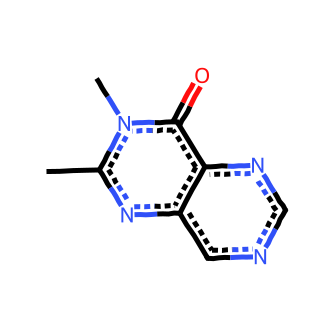 Cc1nc2cncnc2c(=O)n1C